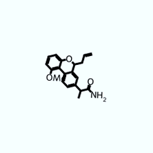 C=CCC1Oc2cccc(OC)c2-c2ccc(C(C)C(N)=O)cc21